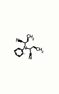 C=CC(C#N)N(c1[c]cccc1)C(C#N)C=C